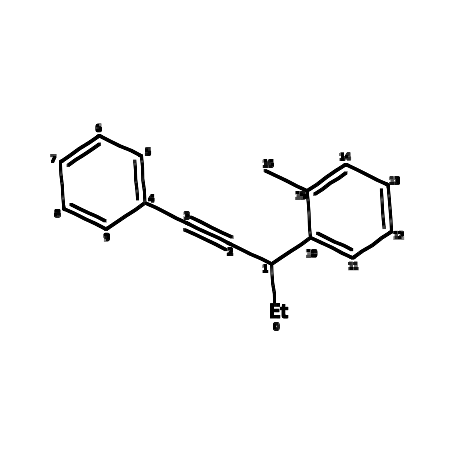 CCC(C#Cc1ccccc1)c1ccccc1C